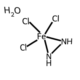 O.[Cl][Fe]1([Cl])([Cl])[NH][NH]1